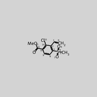 C=Cc1c(S(C)(=O)=O)ccc(C(=O)OC)c1Cl